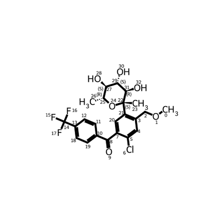 COCc1cc(Cl)c(C(=O)c2ccc(C(F)(F)F)cc2)cc1[C@]1(C)O[C@H](C)[C@@H](O)[C@H](O)[C@H]1O